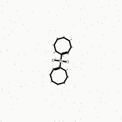 [Cl][Pt]([Cl])([C]1=CCCCCCC1)[C]1=CCCCCCC1